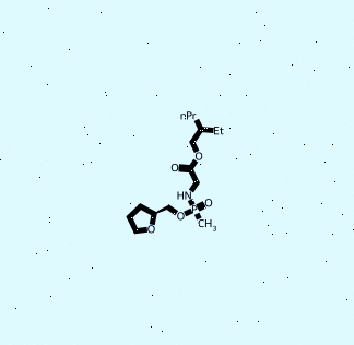 CCCC(CC)COC(=O)CNP(C)(=O)OC[C@@H]1CCCO1